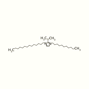 CCCCCCCCCCCCCC[n+]1ccn(CCCCCCCCCCC)c1C(C)C